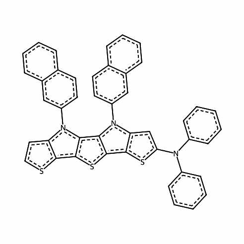 c1ccc(N(c2ccccc2)c2cc3c(s2)c2sc4c5sccc5n(-c5ccc6ccccc6c5)c4c2n3-c2ccc3ccccc3c2)cc1